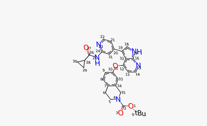 CC(C)(C)OC(=O)N1CCc2ccc(Oc3ccnc4[nH]cc(-c5ccnc(NC(=O)C6CC6)c5)c34)cc2C1